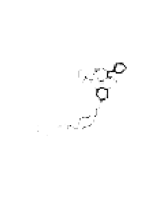 CCOC(=O)COCCN1CCN(CCOc2cc(F)c([C@@H]3c4[nH]c5ccccc5c4C[C@@H](C)N3CC(C)(C)F)c(F)c2)CC1